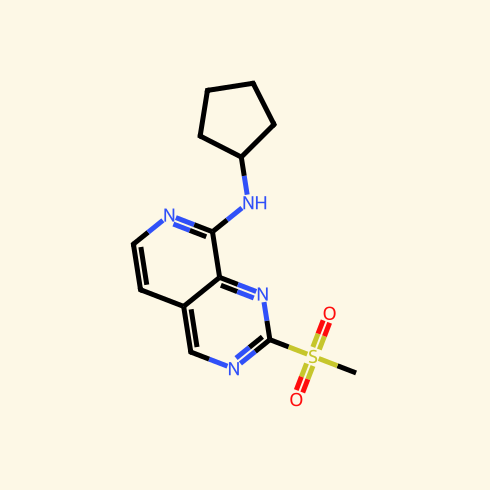 CS(=O)(=O)c1ncc2ccnc(NC3CCCC3)c2n1